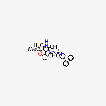 COC(=O)C1=C(C)NC(C)=C(N(C=O)CCCN2CCC(c3ccccc3)(c3ccccc3)CC2)C1C1CCCCC1